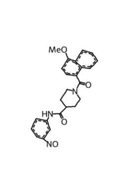 COc1ccc(C(=O)N2CCC(C(=O)Nc3cccc(N=O)c3)CC2)c2ccccc12